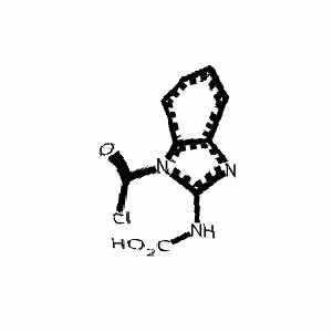 O=C(O)Nc1nc2ccccc2n1C(=O)Cl